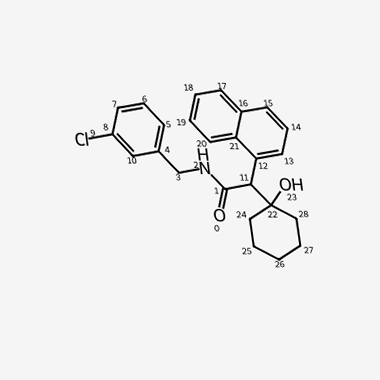 O=C(NCc1cccc(Cl)c1)C(c1cccc2ccccc12)C1(O)CCCCC1